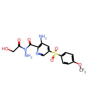 Nc1cc(S(=O)(=O)c2ccc(OC(F)(F)F)cc2)cnc1C(=O)N(N)C(=O)CO